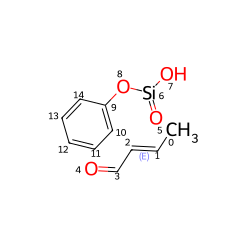 C/C=C/C=O.O=[Si](O)Oc1ccccc1